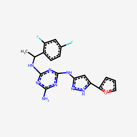 CC(Nc1nc(N)nc(Nc2cc(-c3ccco3)[nH]n2)n1)c1ccc(F)cc1F